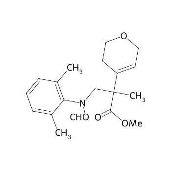 COC(=O)C(C)(CN(C=O)c1c(C)cccc1C)C1=CCOCC1